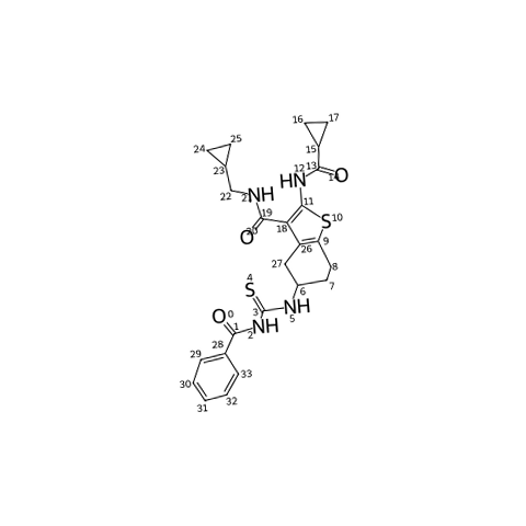 O=C(NC(=S)NC1CCc2sc(NC(=O)C3CC3)c(C(=O)NCC3CC3)c2C1)c1ccccc1